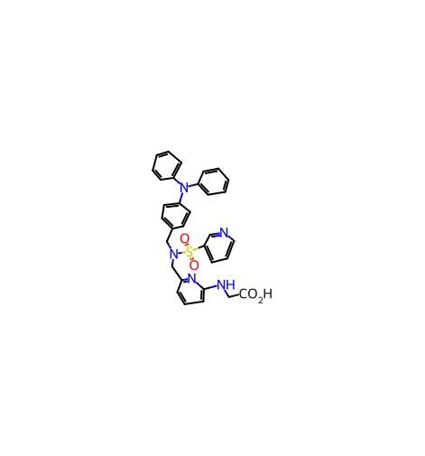 O=C(O)CNc1cccc(CN(Cc2ccc(N(c3ccccc3)c3ccccc3)cc2)S(=O)(=O)c2cccnc2)n1